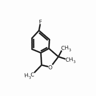 CC1OC(C)(C)c2cc(F)ccc21